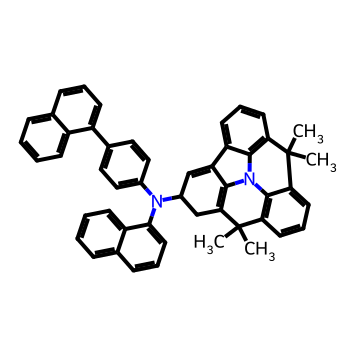 CC1(C)C2=c3c(c4cccc5c4n3-c3c1cccc3C5(C)C)=CC(N(c1ccc(-c3cccc4ccccc34)cc1)c1cccc3ccccc13)C2